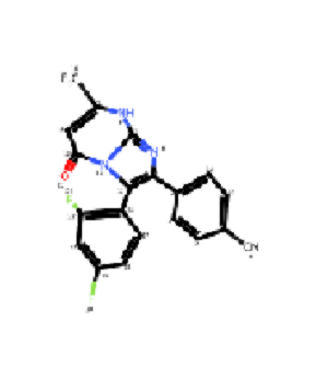 N#Cc1ccc(-c2nc3[nH]c(C(F)(F)F)cc(=O)n3c2-c2ccc(F)cc2F)cc1